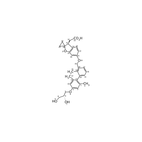 Cc1cc(OC[C@H](O)CO)cc(C)c1-c1cccc(COc2ccc3c(c2)OC2(CC2)[C@H]3CC(=O)O)c1C